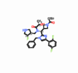 COC(=O)N1CC([C@H](c2nc(-c3cc(F)ccc3F)cn2Cc2ccccc2)N(C[C@@H]2CNC[C@@H]2F)C(=O)[C@H](C)O)C1